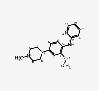 COc1cc(N2CCN(C)CC2)ccc1Nc1ccccn1